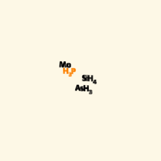 P.[AsH3].[Mo].[SiH4]